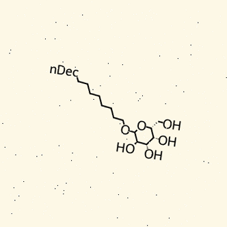 CCCCCCCCCCCCCCCCCCOC1O[C@H](CO)[C@H](O)[C@H](O)[C@H]1O